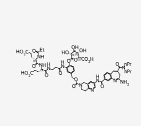 CCCN(CCC)C(=O)C1=Cc2ccc(C(=O)Nc3cnc4c(c3)CN(C(=O)OCc3ccc(O[C@@H]5O[C@H](C(=O)O)[C@@H](O)[C@H](O)[C@H]5O)c(NC(=O)CCNC(=O)[C@H](CCC(=O)O)NC(=O)[C@H](CCC(=O)O)NC(=O)CC)c3)CC4)cc2N=C(N)C1